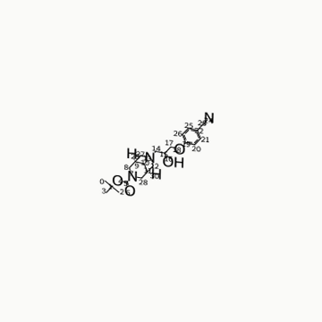 CC(C)(C)OC(=O)N1C[C@@H]2C[C@@H](CN(C[C@H](O)COc3ccc(C#N)cc3)C2)C1